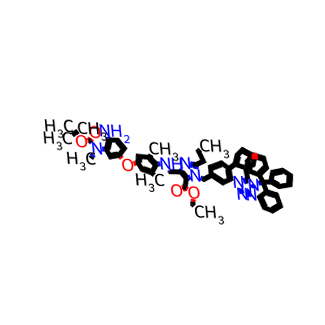 CCCc1nc(CNc2c(C)cc(Oc3ccc(N)c(N(C)C(=O)OC(C)(C)C)c3)cc2C)c(C(=O)OCC)n1Cc1ccc(-c2ccccc2-c2nnnn2C(c2ccccc2)(c2ccccc2)c2ccccc2)cc1